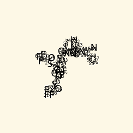 CC(C)(C(=O)SCCOP(=O)(OCCSC(=O)C(C)(C)C(F)(F)F)C(F)(F)c1ccc2sc(C(=O)N[C@H]3CCCC[C@H]4CC[C@@H](C(=O)N5C[C@@H](C#N)[C@H](c6ccccc6)C5)N4C3=O)cc2c1)C(F)(F)F